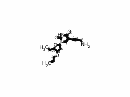 C=CCOC1CC(n2cc(C#CCN)c(=O)[nH]c2=O)OC1CC